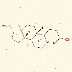 C=C[C@H]1CC[C@H]2[C@@H]3CCC4=CC(O)CC[C@@H]4[C@H]3CC[C@]12C